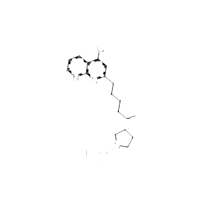 O=C(O)N1CC[C@@H](C(F)CCCCc2cc(Cl)c3cccnc3n2)C1